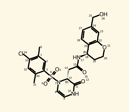 Cc1cc(S(=O)(=O)N2C=CNC(=O)[C@H]2CC(=O)N[C@@H]2CCOc3cc(CO)ccc32)c(C)cc1Cl